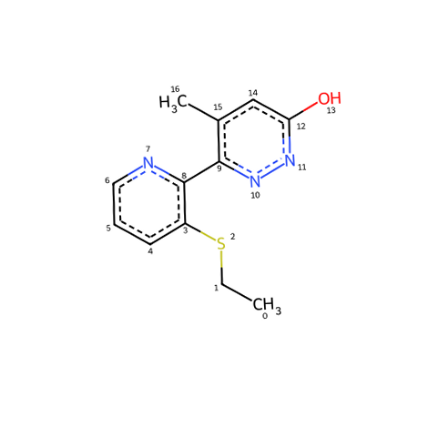 CCSc1cccnc1-c1nnc(O)cc1C